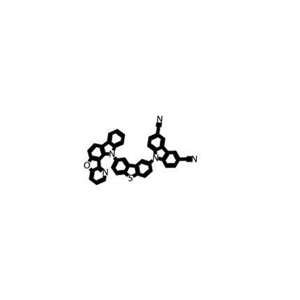 N#Cc1ccc2c(c1)c1cc(C#N)ccc1n2-c1ccc2sc3ccc(-n4c5ccccc5c5ccc6oc7cccnc7c6c54)cc3c2c1